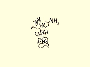 COc1cccc(F)c1-n1nccc(C(=O)Nc2cc(F)c3c(cnn3C)c2N2CC[C@H](N)C2)c1=O